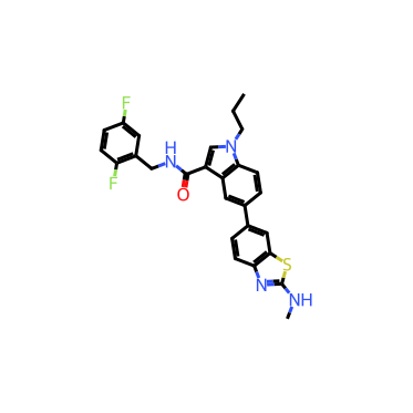 CCCn1cc(C(=O)NCc2cc(F)ccc2F)c2cc(-c3ccc4nc(NC)sc4c3)ccc21